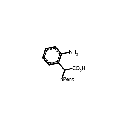 CCCCCC(C(=O)O)c1ccccc1N